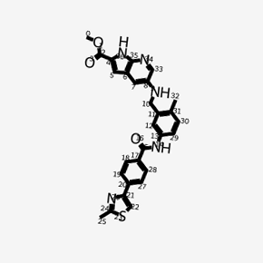 COC(=O)c1cc2cc(NCc3cc(NC(=O)c4ccc(-c5csc(C)n5)cc4)ccc3C)cnc2[nH]1